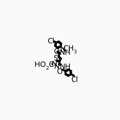 CN(NC(=O)c1cc2c(NC(=O)c3ccc(CCl)cc3)nn(C(=O)O)c2s1)c1ccc(Cl)cc1